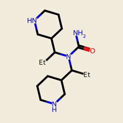 CCC(C1CCCNC1)N(C(N)=O)C(CC)C1CCCNC1